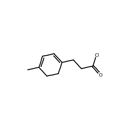 CC1=CC=C(CCC(=O)Cl)CC1